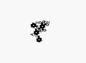 COc1cc(CN(Cc2ccccc2)C(=O)c2cc(C(=O)O)c(C(=O)O)cc2C(=O)O)ccc1OCc1ccccc1